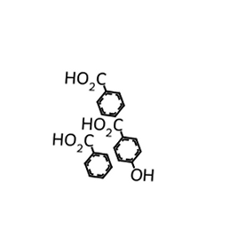 O=C(O)c1ccc(O)cc1.O=C(O)c1ccccc1.O=C(O)c1ccccc1